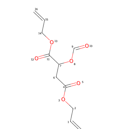 C=CCOC(=O)CC(OC=O)C(=O)OCC=C